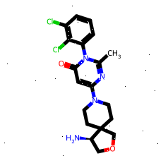 Cc1nc(N2CCC3(CC2)COC[C@H]3N)cc(=O)n1-c1cccc(Cl)c1Cl